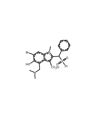 CCOC(=O)c1c(C(c2ccccc2)S(=O)(=O)CC)n(C)c2cc(Br)c(O)c(CN(C)C)c12